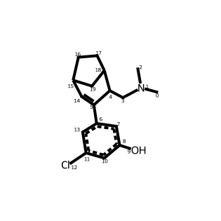 CN(C)CC1C(c2cc(O)cc(Cl)c2)=CC2CCC1C2